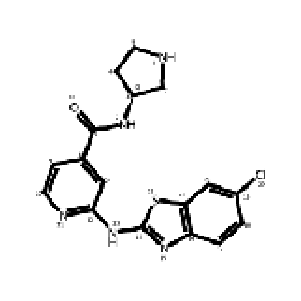 O=C(N[C@H]1CCNC1)c1ccnc(Nc2nc3ccc(Cl)cc3s2)c1